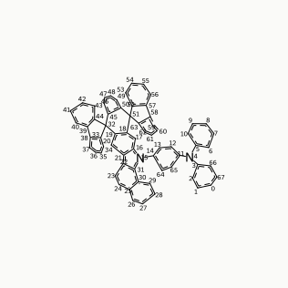 c1ccc(N(c2ccccc2)c2ccc(-n3c4cc5c(cc4c4ccc6ccccc6c43)C3(c4ccccc4-c4ccccc43)c3ccccc3C53c4ccccc4-c4ccccc43)cc2)cc1